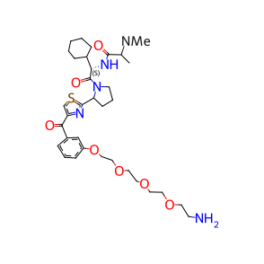 CNC(C)C(=O)N[C@H](C(=O)N1CCCC1c1nc(C(=O)c2cccc(OCCOCCOCCOCCN)c2)cs1)C1CCCCC1